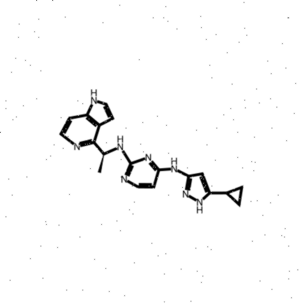 C[C@H](Nc1nccc(Nc2cc(C3CC3)[nH]n2)n1)c1nccc2[nH]ccc12